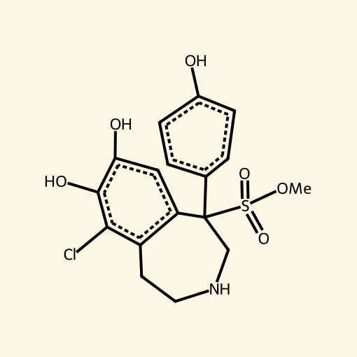 COS(=O)(=O)C1(c2ccc(O)cc2)CNCCc2c1cc(O)c(O)c2Cl